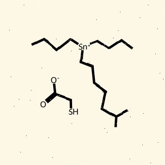 CCC[CH2][Sn+]([CH2]CCC)[CH2]CCCCC(C)C.O=C([O-])CS